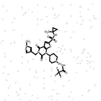 CC(=O)N1CCC(n2c(=O)n(Cc3cnn(C)c3)c(=O)c3cc(S(=O)(=O)NC4(C)CC4)sc32)CC1.O=C(O)C(F)(F)F